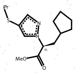 COC(=O)[C@H](CC1CCCC1)n1cc(SC(C)C)cn1